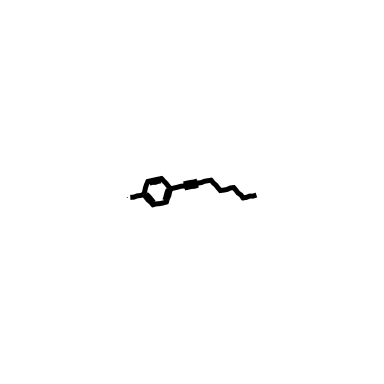 [CH2]c1ccc(C#CCCCCC)cc1